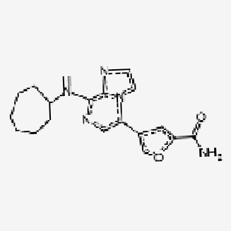 NC(=O)c1cc(-c2cnc(NC3CCCCCC3)c3nccn23)co1